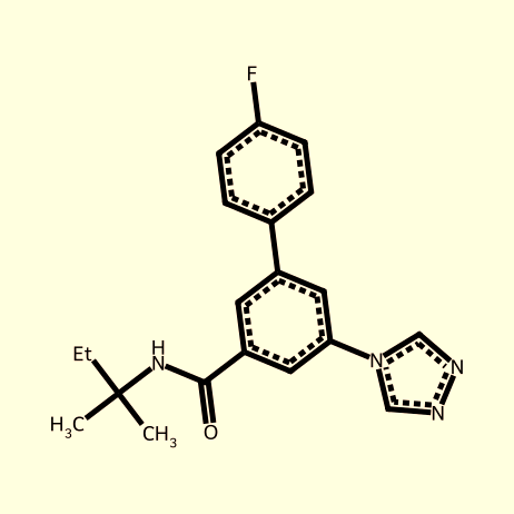 CCC(C)(C)NC(=O)c1cc(-c2ccc(F)cc2)cc(-n2cnnc2)c1